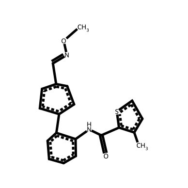 CON=Cc1ccc(-c2ccccc2NC(=O)c2sccc2C)cc1